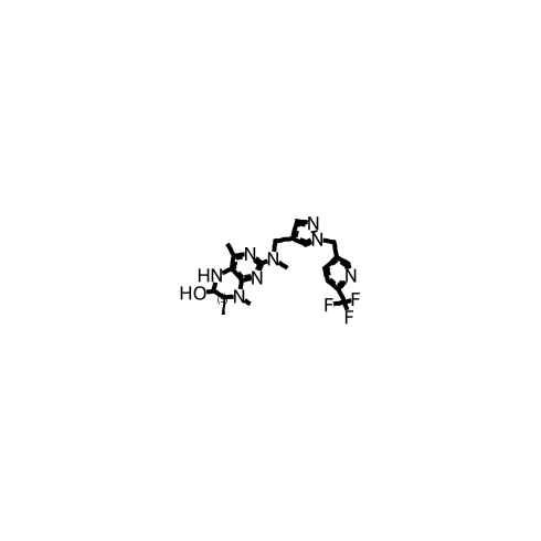 Cc1nc(N(C)Cc2cnn(Cc3ccc(C(F)(F)F)nc3)c2)nc2c1NC(O)[C@H](C)N2C